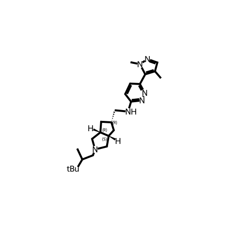 Cc1cnn(C)c1-c1ccc(NC[C@@H]2C[C@@H]3CN(CC(C)C(C)(C)C)C[C@@H]3C2)nn1